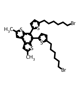 Cc1cc2c(s1)c(-c1ccc(CCCCCCBr)s1)c(-c1ccc(CCCCCCBr)s1)c1sc(C)cc12